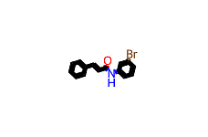 O=C(C=Cc1ccccc1)Nc1cccc(Br)c1